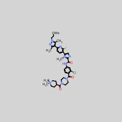 COCCn1nc(C)c(-c2ccc(-c3cnc(C(=O)Nc4ccc(C(=O)N5CCN(C(=O)C6CC[N+](C)(C)CC6)CC5)c(Cl)c4)n3C)c(F)n2)c1C